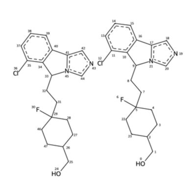 OCC1CCC(F)(CCC2c3c(Cl)cccc3-c3cncn32)CC1.OCC1CCC(F)(CCC2c3c(Cl)cccc3-c3cncn32)CC1